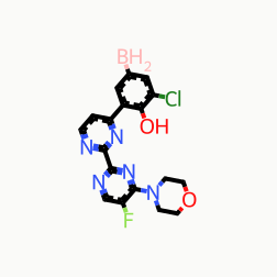 Bc1cc(Cl)c(O)c(-c2ccnc(-c3ncc(F)c(N4CCOCC4)n3)n2)c1